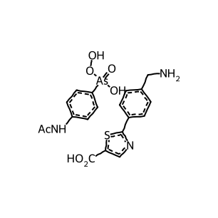 CC(=O)Nc1ccc([As](=O)(O)OO)cc1.NCc1ccc(-c2ncc(C(=O)O)s2)cc1